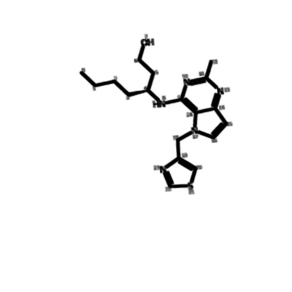 CCCC[C@@H](CCO)Nc1nc(C)nc2ccn(Cc3cscn3)c12